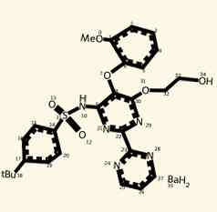 COc1ccccc1Oc1c(NS(=O)(=O)c2ccc(C(C)(C)C)cc2)nc(-c2ncccn2)nc1OCCO.[BaH2]